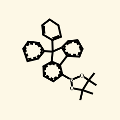 CC1(C)OB(c2cccc3c2-c2ccccc2C3(C2=CCCC=C2)c2ccccc2)OC1(C)C